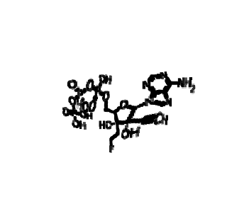 C#C[C@]1(O)[C@H](n2cnc3c(N)ncnc32)O[C@H](COP(=O)(O)OP(=O)(O)OP(=O)(O)O)[C@]1(O)CCF